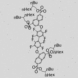 CCCCCCC(CCCC)COS(=O)(=O)c1ccc2c(Oc3c(F)c(F)c(-c4c(F)c(F)c(Oc5cc(S(=O)(=O)OCC(CCCC)CCCCCC)cc6cc(S(=O)(=O)OCC(CCCC)CCCCCC)ccc56)c(F)c4F)c(F)c3F)cc(S(=O)(=O)OCC(CCCC)CCCCCC)cc2c1